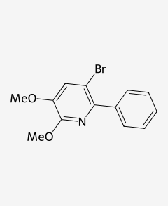 COc1cc(Br)c(-c2ccccc2)nc1OC